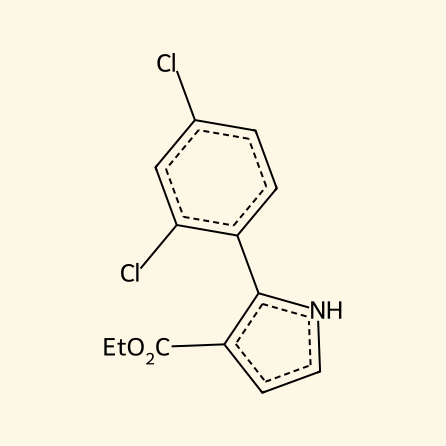 CCOC(=O)c1cc[nH]c1-c1ccc(Cl)cc1Cl